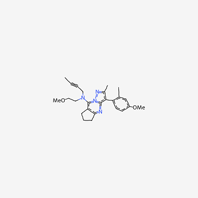 CC#CCN(CCOC)c1c2c(nc3c(-c4ccc(OC)cc4C)c(C)nn13)CCC2